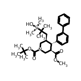 COC(=O)[C@H]1CN(C(=O)OC(C)(C)C)C[C@@H](CC(C)(C)[Si](C)(C)O)[C@@H]1c1cccc(-c2ccccc2)c1